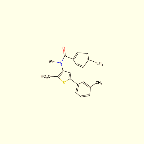 Cc1ccc(C(=O)N(c2cc(-c3cccc(C)c3)sc2C(=O)O)C(C)C)cc1